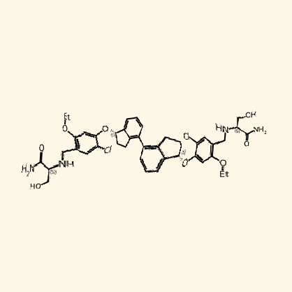 CCOc1cc(O[C@H]2CCc3c(-c4cccc5c4CC[C@@H]5Oc4cc(OCC)c(CN[C@@H](CO)C(N)=O)cc4Cl)cccc32)c(Cl)cc1CN[C@@H](CO)C(N)=O